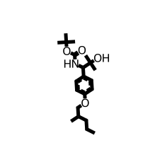 CCCC(C)COc1ccc(C(NC(=O)OC(C)(C)C)C(C)(C)O)cc1